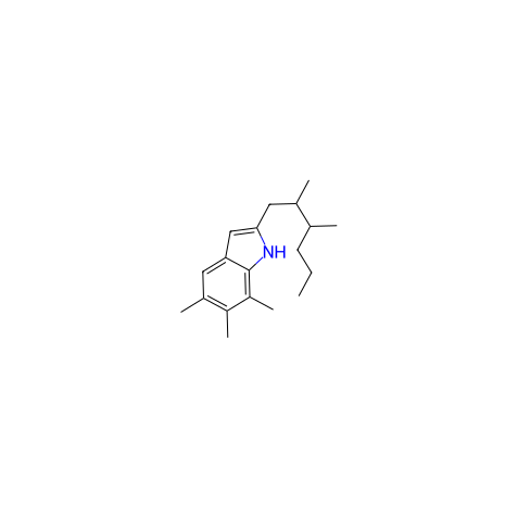 CCCC(C)C(C)Cc1cc2cc(C)c(C)c(C)c2[nH]1